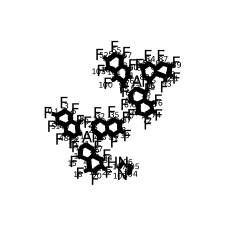 Fc1c(F)c(F)c2c(F)[c]([Al]([c]3c(F)c(F)c4c(F)c(F)c(F)c(F)c4c3F)[c]3c(F)c(F)c4c(F)c(F)c(F)c(F)c4c3F)c(F)c(F)c2c1F.Fc1c(F)c(F)c2c(F)[c]([Al]([c]3c(F)c(F)c4c(F)c(F)c(F)c(F)c4c3F)[c]3c(F)c(F)c4c(F)c(F)c(F)c(F)c4c3F)c(F)c(F)c2c1F.c1c[nH]cn1